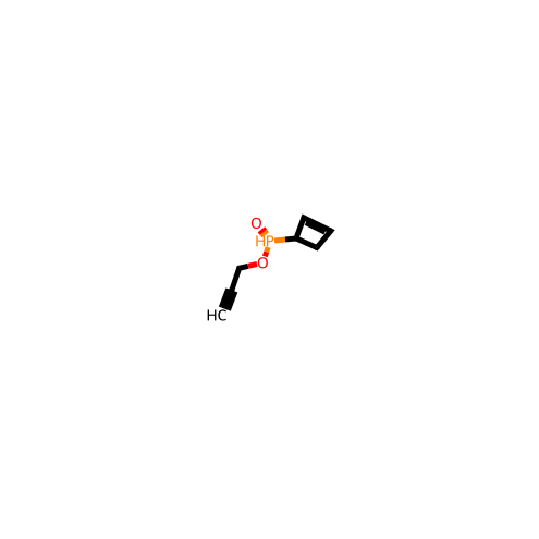 C#CCO[PH](=O)C1C=CC1